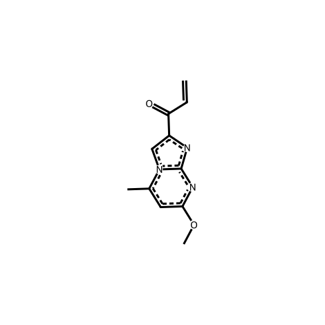 C=CC(=O)c1cn2c(C)cc(OC)nc2n1